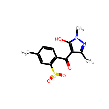 Cc1ccc(C(=O)c2c(C)nn(C)c2O)c([SH](=O)=O)c1